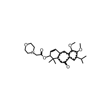 COc1c(C(C)C)cc2c(=O)cc3c(cc2c1OC)C=CC(OC(=O)CN1CCOCC1)C3(C)C